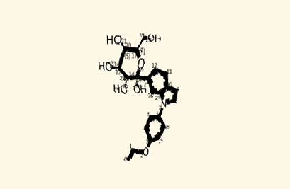 CCOc1ccc(-n2ccc3ccc([C@]4(O)O[C@H](CO)[C@@H](O)[C@H](O)[C@H]4O)cc32)cc1